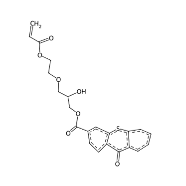 C=CC(=O)OCCOCC(O)COC(=O)c1ccc2c(=O)c3ccccc3sc2c1